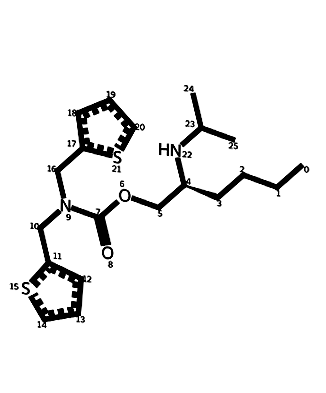 CCCC[C@@H](COC(=O)N(Cc1cccs1)Cc1cccs1)NC(C)C